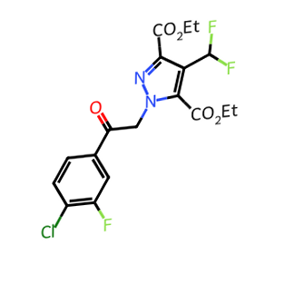 CCOC(=O)c1nn(CC(=O)c2ccc(Cl)c(F)c2)c(C(=O)OCC)c1C(F)F